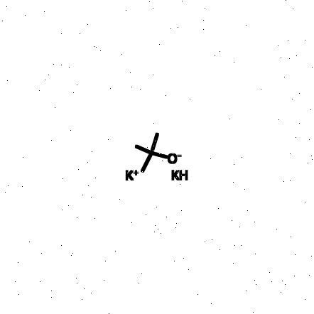 CC(C)(C)[O-].[K+].[KH]